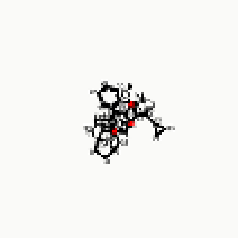 COC(=O)c1ccc(N2C3CC[C@H]2CC(OCc2c(-c4ccccc4OC(F)F)noc2C2CC2)C3)c(F)c1